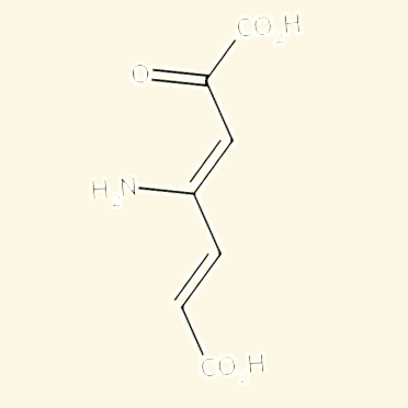 NC(C=CC(=O)O)=CC(=O)C(=O)O